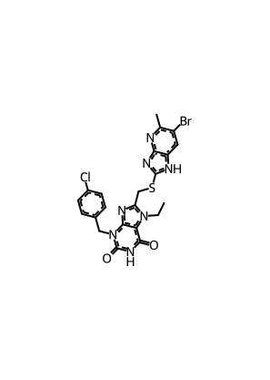 CCn1c(CSc2nc3nc(C)c(Br)cc3[nH]2)nc2c1c(=O)[nH]c(=O)n2Cc1ccc(Cl)cc1